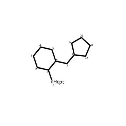 CCCCCCCC1CCCC[C]1CC1CCCC1